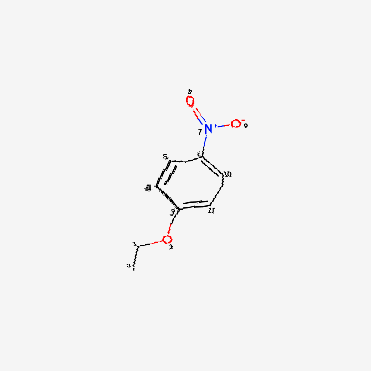 [CH2]COc1ccc([N+](=O)[O-])cc1